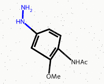 COc1cc(NN)ccc1NC(C)=O